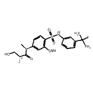 COc1cc(N(C)C(=O)[C@H](C)CO)ccc1S(=O)(=O)Nc1cccc(C(F)(P)P)c1